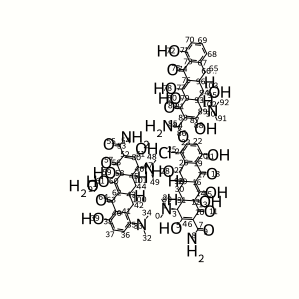 CN(C)[C@@H]1C(O)=C(C(N)=O)C(=O)[C@@]2(O)C(O)=C3C(=O)c4c(O)ccc(Cl)c4[C@@H](O)[C@H]3C[C@@H]12.CN(C)c1ccc(O)c2c1C[C@H]1C[C@H]3[C@H](N(C)C)C(O)=C(C(N)=O)C(=O)[C@@]3(O)C(O)=C1C2=O.C[C@H]1c2cccc(O)c2C(=O)C2=C(O)[C@]3(O)C(=O)C(C(N)=O)=C(O)[C@@H](N(C)C)[C@@H]3[C@@H](O)[C@@H]21.O